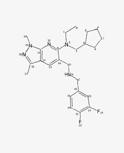 CCN(CC1CCCC1)c1nc2c(cc1CNCc1ccc(F)c(F)c1)c(C)nn2C